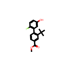 COC(=O)c1ccc(-c2cc(O)ccc2F)c(C(C)(C)C)c1